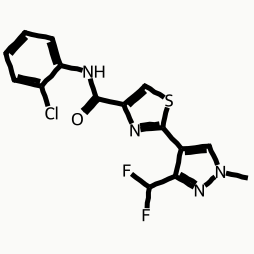 Cn1cc(-c2nc(C(=O)Nc3ccccc3Cl)cs2)c(C(F)F)n1